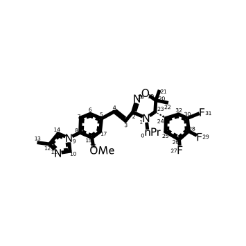 CCCN1C(/C=C/c2ccc(-n3cnc(C)c3)c(OC)c2)=NOC(C)(C)[C@@H]1c1cc(F)c(F)c(F)c1